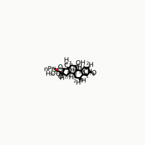 [2H]C1=C[C@@]2(C)C(=CC1=O)C([2H])([2H])C[C@@H]1[C@@H]2[C@@H](O)C[C@@]2(C)[C@H]1C[C@H]1OC(CCC)O[C@]12C(=O)CO